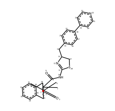 CN1C(=O)C2CC(C)(C(=O)NC3=NC(Cc4ccc(-c5ccncc5)cc4)CS3)C1c1ccccc12